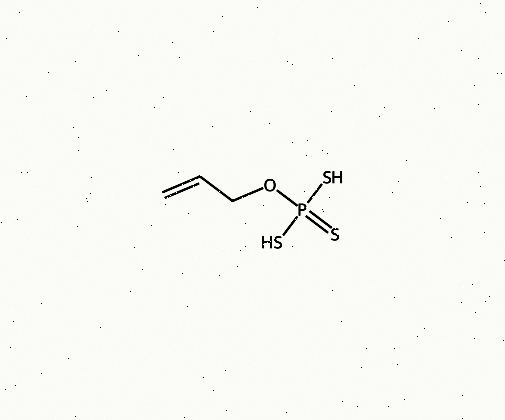 C=CCOP(=S)(S)S